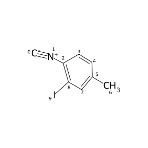 [C-]#[N+]c1ccc(C)cc1I